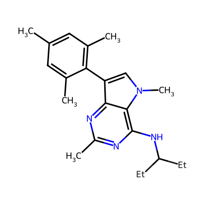 CCC(CC)Nc1nc(C)nc2c(-c3c(C)cc(C)cc3C)cn(C)c12